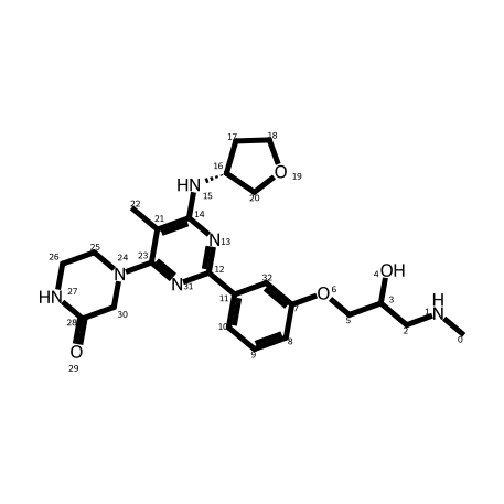 CNCC(O)COc1cccc(-c2nc(N[C@@H]3CCOC3)c(C)c(N3CCNC(=O)C3)n2)c1